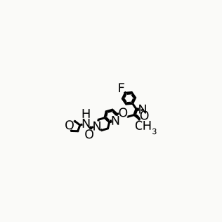 Cc1onc(-c2ccc(F)cc2)c1COc1ccc2c(n1)CCN(C(=O)NC1CCOC1)C2